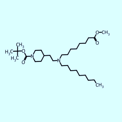 CCCCCCCCCN(CCCCCCCC(=O)OC)CCC1CCN(C(=O)OC(C)(C)C)CC1